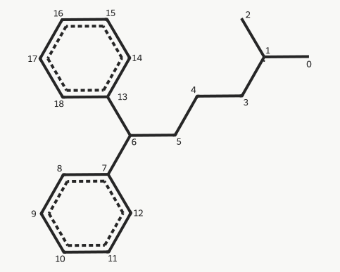 C[C](C)CCCC(c1ccccc1)c1ccccc1